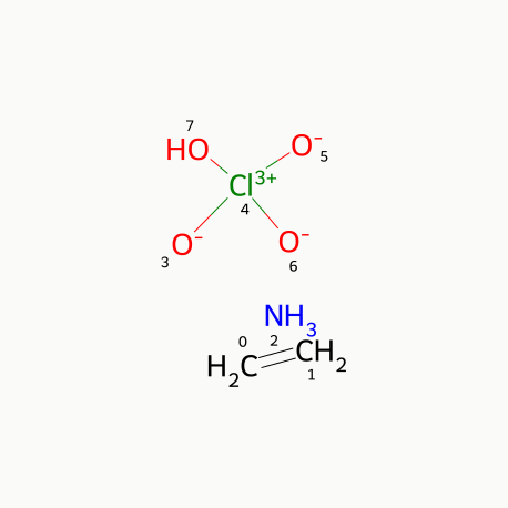 C=C.N.[O-][Cl+3]([O-])([O-])O